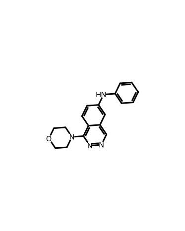 c1ccc(Nc2ccc3c(N4CCOCC4)nncc3c2)cc1